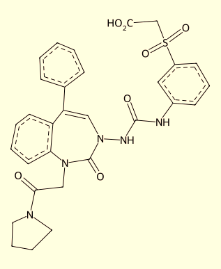 O=C(O)CS(=O)(=O)c1cccc(NC(=O)NN2C=C(c3ccccc3)c3ccccc3N(CC(=O)N3CCCC3)C2=O)c1